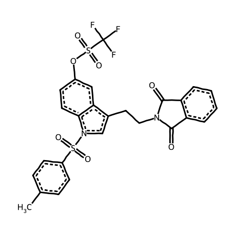 Cc1ccc(S(=O)(=O)n2cc(CCN3C(=O)c4ccccc4C3=O)c3cc(OS(=O)(=O)C(F)(F)F)ccc32)cc1